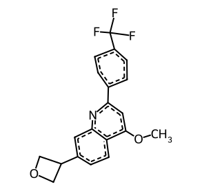 COc1cc(-c2ccc(C(F)(F)F)cc2)nc2cc(C3COC3)ccc12